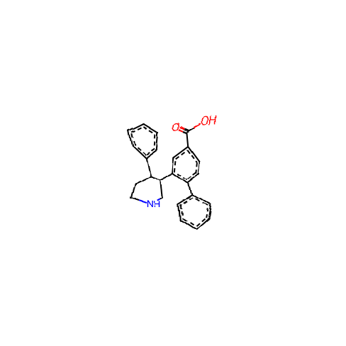 O=C(O)c1ccc(-c2ccccc2)c(C2CNCCC2c2ccccc2)c1